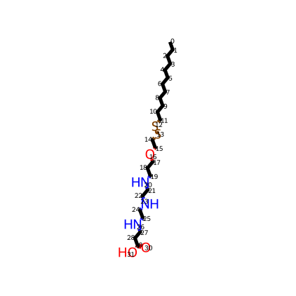 CCCCCCCCCCCCSSCCOCCCNCCNCCNCCC(=O)O